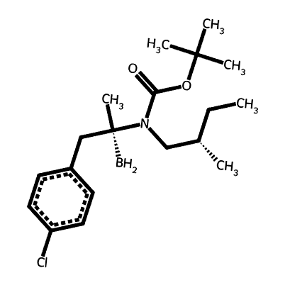 B[C@@](C)(Cc1ccc(Cl)cc1)N(C[C@@H](C)CC)C(=O)OC(C)(C)C